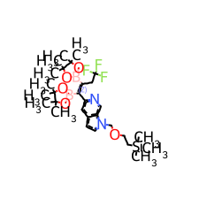 CC1(C)OB(/C(CC(F)(F)F)=C(\B2OC(C)(C)C(C)(C)O2)c2cc3ccn(COCC[Si](C)(C)C)c3cn2)OC1(C)C